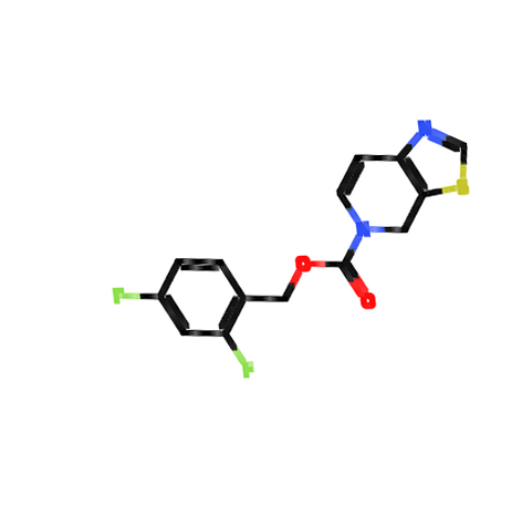 O=C(OCc1ccc(F)cc1F)N1C=Cc2ncsc2C1